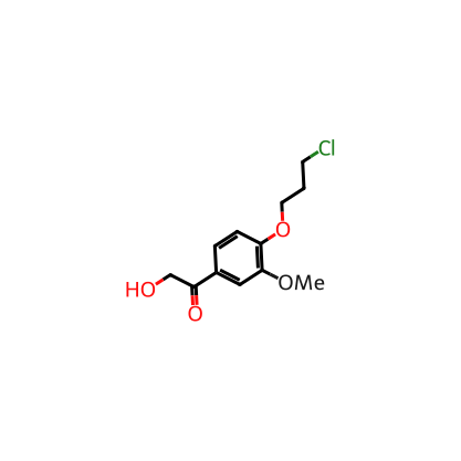 COc1cc(C(=O)CO)ccc1OCCCCl